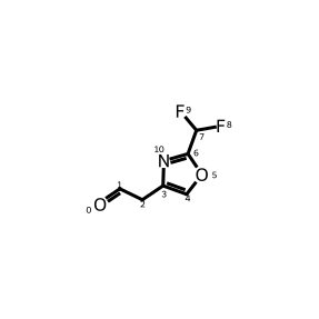 O=CCc1coc(C(F)F)n1